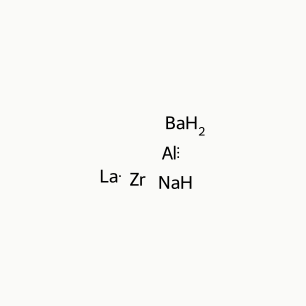 [Al].[BaH2].[La].[NaH].[Zr]